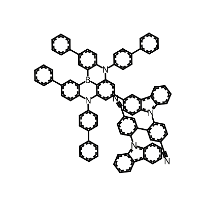 N#Cc1ccc(-n2c3ccccc3c3ccccc32)c(-c2cc(C#N)ccc2-n2c3ccccc3c3cc(-c4cc5c6c(c4)N(c4ccc(-c7ccccc7)cc4)c4ccc(-c7ccccc7)cc4B6c4cc(-c6ccccc6)ccc4N5c4ccc(-c5ccccc5)cc4)ccc32)c1